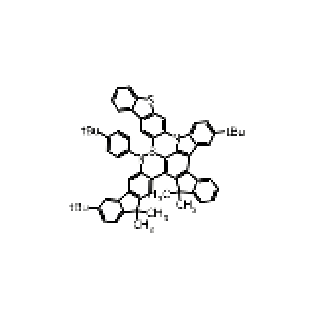 CC(C)(C)c1ccc(N2B3c4cc5c(cc4-n4c6ccc(C(C)(C)C)cc6c6c7c(c(c3c64)-c3cc4c(cc32)-c2cc(C(C)(C)C)ccc2C4(C)C)C(C)(C)c2ccccc2-7)sc2ccccc25)cc1